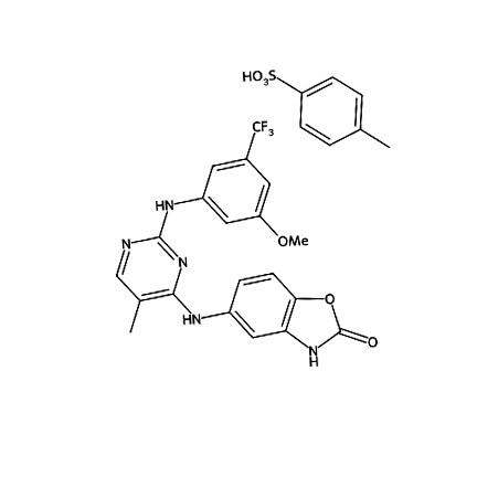 COc1cc(Nc2ncc(C)c(Nc3ccc4oc(=O)[nH]c4c3)n2)cc(C(F)(F)F)c1.Cc1ccc(S(=O)(=O)O)cc1